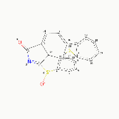 O=C1N=C2[S+]([O-])c3ccccc3C23C1=CC=C1c2ccccc2SC13